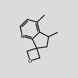 Cc1ccnc2c1C(C)CC21COC1